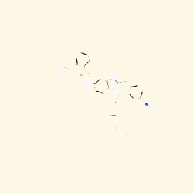 CCOC(=O)CCCn1c(Cc2ccc(C#N)cc2)nc2cc(NS(=O)(=O)c3ccccc3CCN(C)C)ccc21